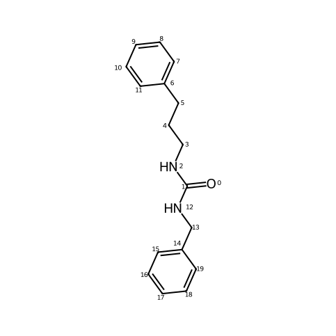 O=C(NCCCc1ccccc1)NCc1ccccc1